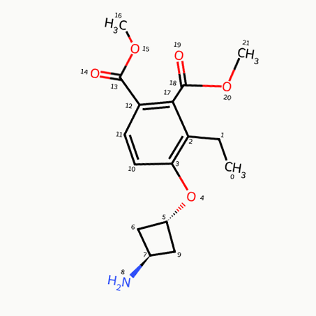 CCc1c(O[C@H]2C[C@H](N)C2)ccc(C(=O)OC)c1C(=O)OC